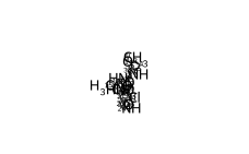 COc1cccc2[nH]c(C(=O)N[C@@H](CC(C)C)C(=O)NC(CC3CCNOC3)C(=O)CCl)cc12